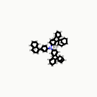 CCC1CC2CCCC(C2)C12c1ccccc1-c1ccc(N(c3ccc(-c4cccc5ccccc45)cc3)c3ccc4c(c3)-c3ccccc3C43CC4CCC3C4)cc12